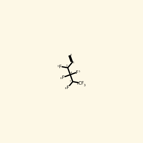 C=CC(F)C(F)(F)C(F)C(F)(F)F